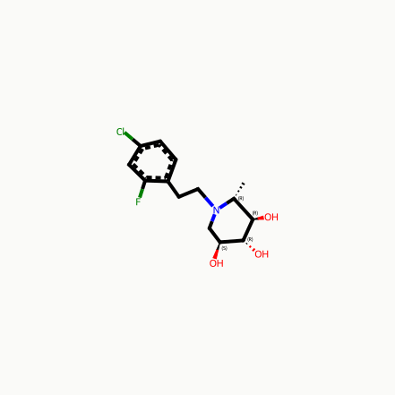 C[C@@H]1[C@@H](O)[C@H](O)[C@@H](O)CN1CCc1ccc(Cl)cc1F